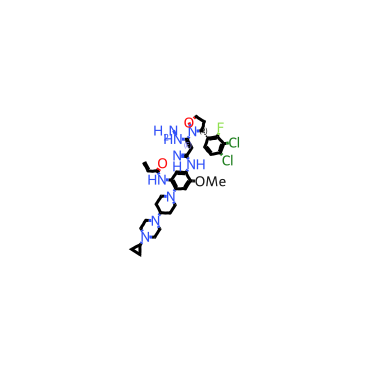 C=CC(=O)Nc1cc(NC(=N)/C=C(\NN)N2OCC[C@@H]2c2ccc(Cl)c(Cl)c2F)c(OC)cc1N1CCC(N2CCN(C3CC3)CC2)CC1